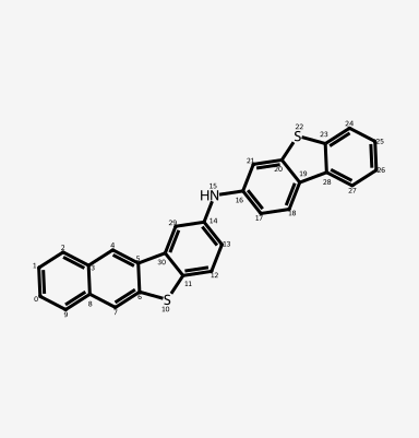 c1ccc2cc3c(cc2c1)sc1ccc(Nc2ccc4c(c2)sc2ccccc24)cc13